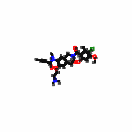 CC#CC(=O)N(C)c1cc2c(cc1OCCN(C)C)CCN(C(=O)c1c(O)cc(OC)c(Cl)c1C)C2